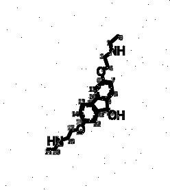 CCNCCOc1ccc2c(c1)-c1ccc(OCCNCC)cc1C2O